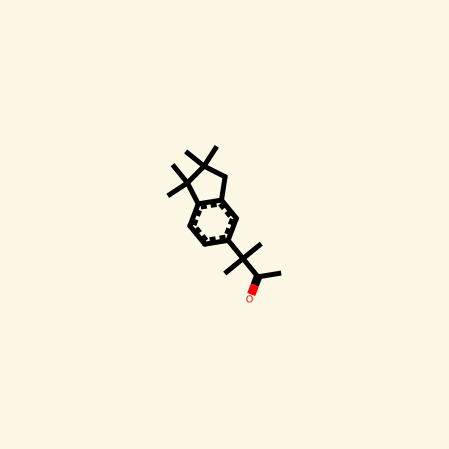 CC(=O)C(C)(C)c1ccc2c(c1)CC(C)(C)C2(C)C